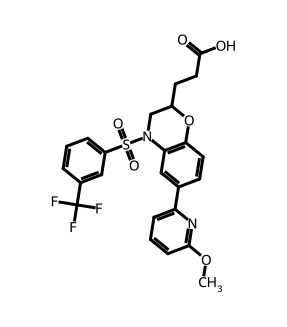 COc1cccc(-c2ccc3c(c2)N(S(=O)(=O)c2cccc(C(F)(F)F)c2)CC(CCC(=O)O)O3)n1